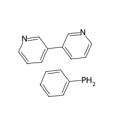 Pc1ccccc1.c1cncc(-c2cccnc2)c1